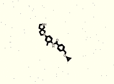 Cc1cc(N2CCC3(CCNC3)C2)ccc1NC(=O)c1ccc(COC2CC2)cc1